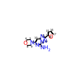 Nc1nc(N2CCOCC2)cc2nc(-c3ccco3)nn12